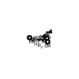 C/C(C(=O)NS(=O)(=O)c1ccccc1F)=C(/O)[C@@H]1Oc2c(O)ccc3c2[C@@]12CCN(CC1CC1)[C@H](C3)[C@@]2(C)O